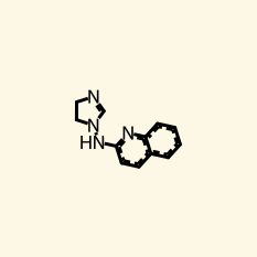 C1=NCCN1Nc1ccc2ccccc2n1